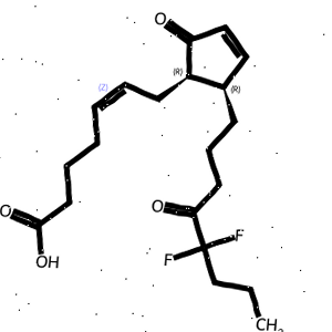 CCCC(F)(F)C(=O)CCC[C@@H]1C=CC(=O)[C@@H]1C/C=C\CCCC(=O)O